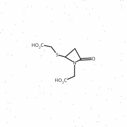 O=C(O)CSC1CC(=O)N1CC(=O)O